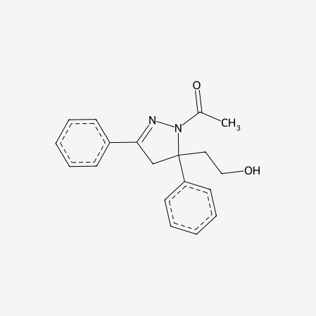 CC(=O)N1N=C(c2ccccc2)CC1(CCO)c1ccccc1